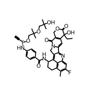 C#CP(Nc1ccc(C(=O)NC2CCc3c(C)c(F)cc4nc5c(c2c34)Cn2c-5cc3c(c2=O)COC(=O)C3(O)CC)cc1)OCC(C)(C)OCC(C)(C)O